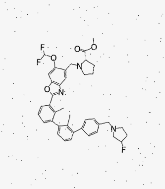 COC(=O)[C@@H]1CCCN1Cc1cc2nc(-c3cccc(-c4cccc(-c5ccc(CN6CCC(F)C6)cc5)c4C)c3C)oc2cc1OC(F)F